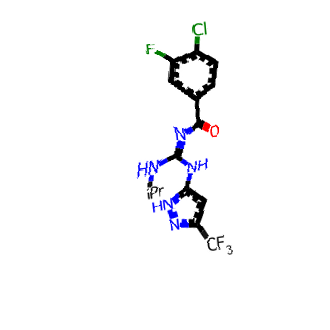 CC(C)N/C(=N/C(=O)c1ccc(Cl)c(F)c1)Nc1cc(C(F)(F)F)n[nH]1